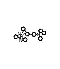 c1ccc(N(c2ccc(-c3ccc4c(c3)c3ccccc3n4-c3nc4ccccc4c4nc5ccccc5n34)cc2)c2cccc3ccccc23)cc1